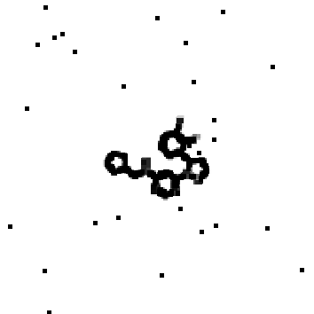 Fc1cccc(C2CCON2c2cc(NCC3CCCC3)ncn2)c1F